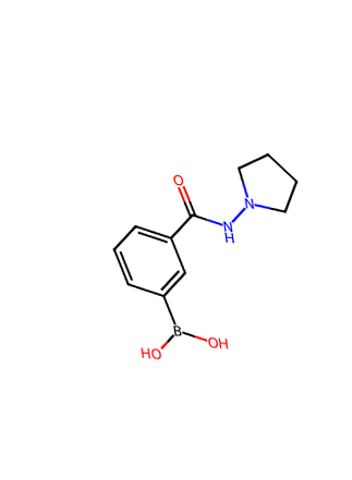 O=C(NN1CCCC1)c1cccc(B(O)O)c1